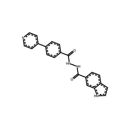 O=C(NNC(=O)c1ccc2cc[nH]c2c1)c1ccc(-c2ccncc2)cc1